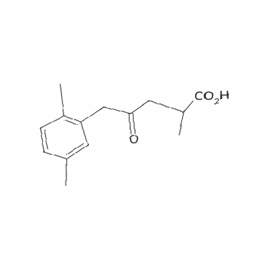 Cc1ccc(C)c(CC(=O)CC(C)C(=O)O)c1